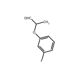 CC(C=O)Oc1cccc(F)c1